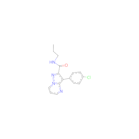 CCCNC(=O)c1nn2cccnc2c1-c1ccc(Cl)cc1